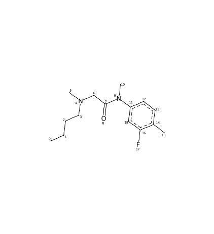 CCCCN(C)CC(=O)N(C)c1ccc(C)c(F)c1